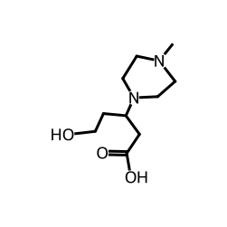 CN1CCN(C(CCO)CC(=O)O)CC1